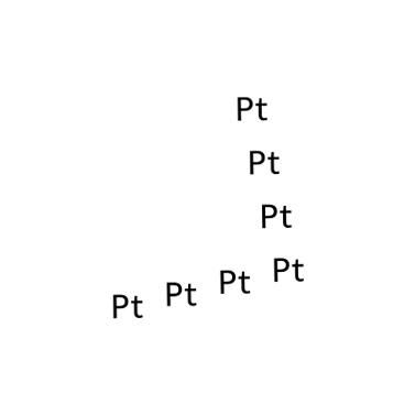 [Pt].[Pt].[Pt].[Pt].[Pt].[Pt].[Pt]